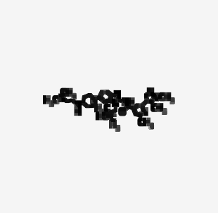 Cc1cc(C(=O)Nc2nc3ccc(N4CCC(NCCN(C)C)CC4)cc3n2CC(C)(C)O)cc(-c2cnn(C)c2C)n1